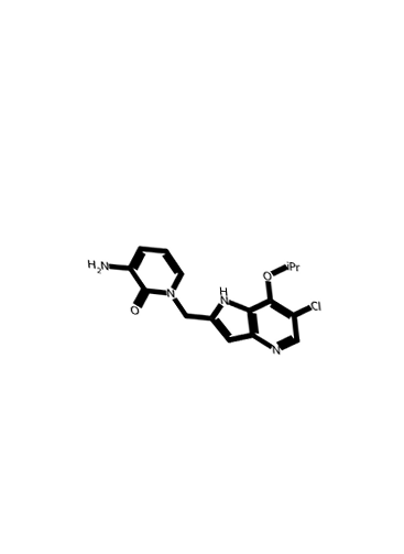 CC(C)Oc1c(Cl)cnc2cc(Cn3cccc(N)c3=O)[nH]c12